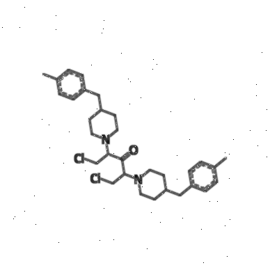 Cc1ccc(CC2CCN(C(CCl)C(=O)C(CCl)N3CCC(Cc4ccc(C)cc4)CC3)CC2)cc1